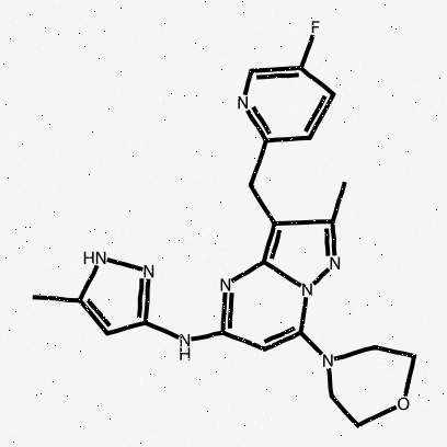 Cc1cc(Nc2cc(N3CCOCC3)n3nc(C)c(Cc4ccc(F)cn4)c3n2)n[nH]1